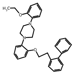 CCOc1ccccc1N1CCN(c2ccccc2OCCc2ccccc2-c2ccccc2)CC1